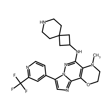 CN1CCOc2c1c(NC1CC3(CCNCC3)C1)nn1c(-c3ccnc(C(F)(F)F)c3)cnc21